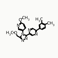 COCc1nnc(-c2cnc(-c3ccc(C)c(C)c3)cn2)n1-c1ccc(OC)nc1